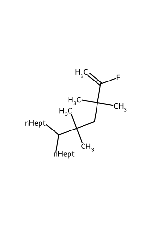 C=C(F)C(C)(C)CC(C)(C)C(CCCCCCC)CCCCCCC